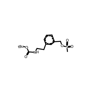 CC(C)(C)OC(=O)NCCc1cccc(COS(C)(=O)=O)c1